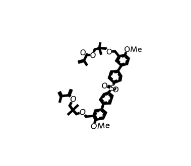 C=C(C)C(=C)OCC(C)(C)COCc1cc(-c2ccc(S(=O)(=O)c3ccc(-c4ccc(OC)c(COCC(C)(C)COC(=O)C(=C)C)c4)cc3)cc2)ccc1OC